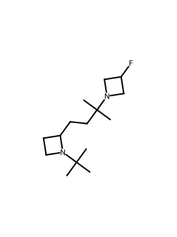 CC(C)(C)N1CCC1CCC(C)(C)N1CC(F)C1